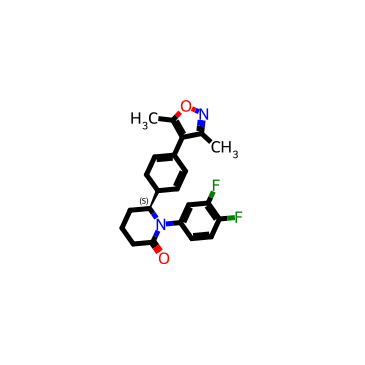 Cc1noc(C)c1C1=CCC([C@@H]2CCCC(=O)N2c2ccc(F)c(F)c2)C=C1